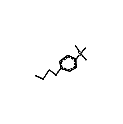 CCCCc1ccc([Si](C)(C)C)cc1